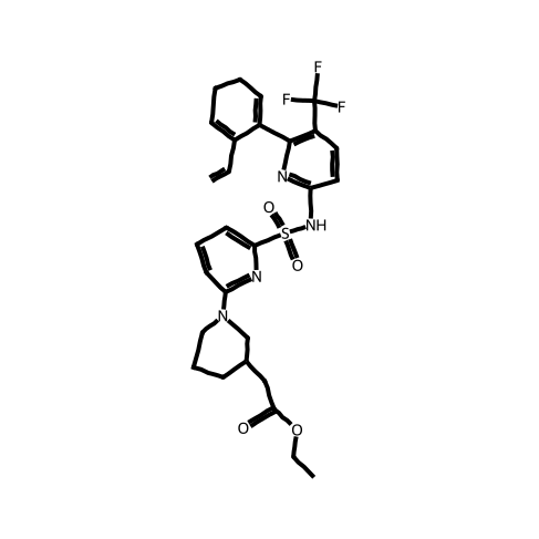 C=CC1=CCCC=C1c1nc(NS(=O)(=O)c2cccc(N3CCCC(CC(=O)OCC)C3)n2)ccc1C(F)(F)F